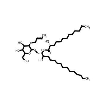 C/C=C/COC1C(OC[C@H](NC(=O)[C@H](O)CCCCCCCCCCC)C(O)CCCCCCCCCCCCC)OC(CO)C(O)C1O